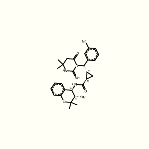 CC1(C)CC(=O)N(C(c2cccc(C#N)c2)[C@@H]2C[C@H]2C(=O)N[C@@H]2c3ccccc3OC(C)(C)[C@H]2O)C(=N)N1